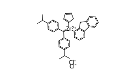 CC(C)c1ccc([C](c2ccc(C(C)C)cc2)=[Zr+2]([C]2=CC=CC2)[c]2cccc3c2Cc2ccccc2-3)cc1.[Cl-].[Cl-]